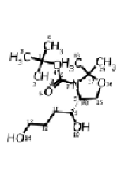 CC(C)(C)OC(=O)N1[C@@H](C(O)CCCO)COC1(C)C